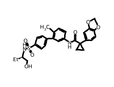 CC[C@H](CO)NS(=O)(=O)c1ccc(-c2cc(NC(=O)C3(c4ccc5c(c4)OCO5)CC3)ccc2C)cc1